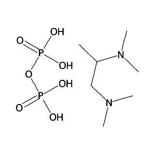 CC(CN(C)C)N(C)C.O=P(O)(O)OP(=O)(O)O